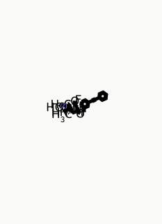 CN1C(=O)N(c2c(F)cc(C#Cc3ccccc3)cc2F)C(=O)C[C@@]1(C)C(=N)/C=C\O